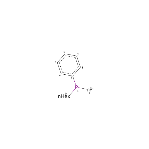 CCCCCCP(CCC)c1ccccc1